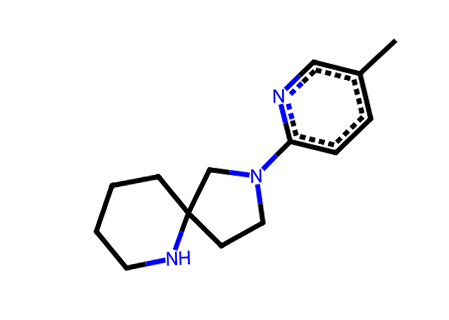 Cc1ccc(N2CCC3(CCCCN3)C2)nc1